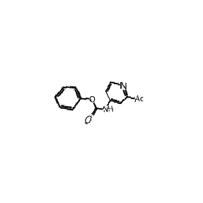 CC(=O)c1cc(NC(=O)Oc2ccccc2)ccn1